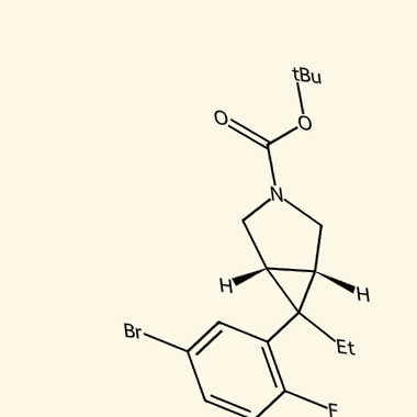 CCC1(c2cc(Br)ccc2F)[C@@H]2CN(C(=O)OC(C)(C)C)C[C@@H]21